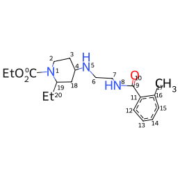 CCOC(=O)N1CCC(NCCNC(=O)c2ccccc2C)CC1CC